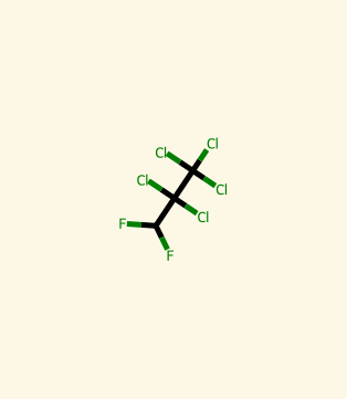 FC(F)C(Cl)(Cl)C(Cl)(Cl)Cl